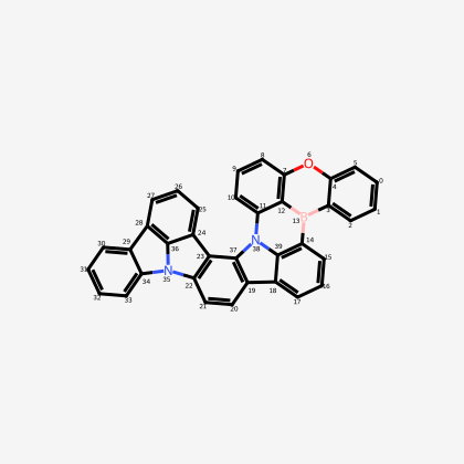 c1ccc2c(c1)Oc1cccc3c1B2c1cccc2c4ccc5c(c6cccc7c8ccccc8n5c76)c4n-3c12